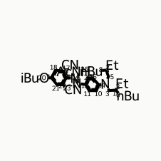 CCCCC(CC)CN(CC(CC)CCCC)c1ccc(N=Nc2c(C#N)cc(OCC(C)C)cc2C#N)c(NC(C)=O)c1